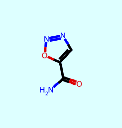 NC(=O)c1cnno1